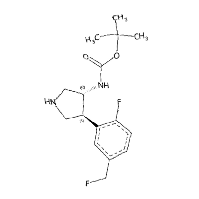 CC(C)(C)OC(=O)N[C@H]1CNC[C@@H]1c1cc(CF)ccc1F